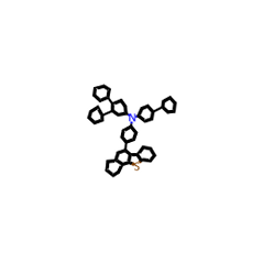 c1ccc(-c2ccc(N(c3ccc(-c4cc5ccccc5c5sc6ccccc6c45)cc3)c3ccc(-c4ccccc4)c(-c4ccccc4)c3)cc2)cc1